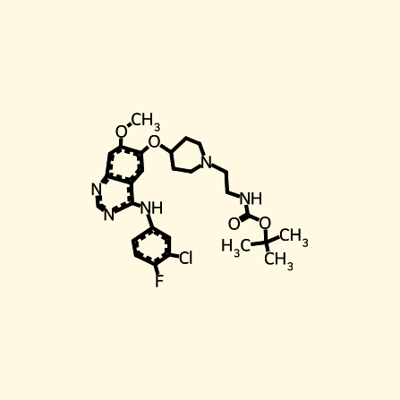 COc1cc2ncnc(Nc3ccc(F)c(Cl)c3)c2cc1OC1CCN(CCNC(=O)OC(C)(C)C)CC1